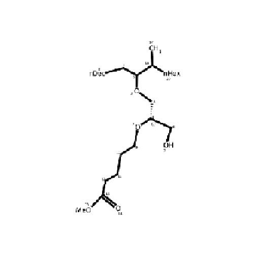 CCCCCCCCCCCC(OC[C@H](CO)OCCCCC(=O)OC)C(C)CCCCCC